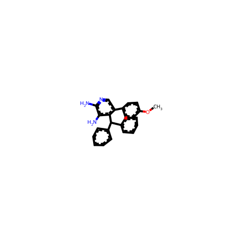 COc1ccc(-c2cnc(N)c(N)c2C(c2ccccc2)c2ccccc2)cc1